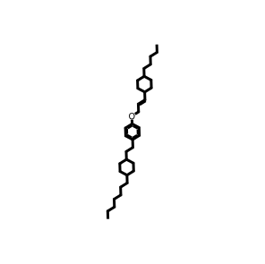 CCCCCCCC1CCC(CCc2ccc(OC/C=C/C3CCC(CCCCC)CC3)cc2)CC1